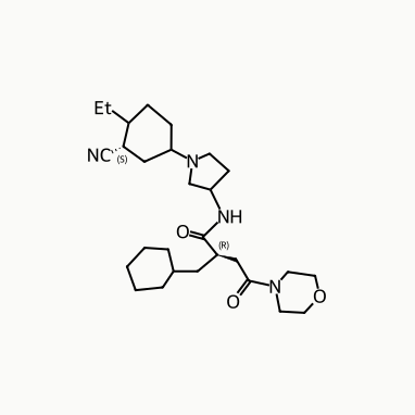 CCC1CCC(N2CCC(NC(=O)[C@@H](CC(=O)N3CCOCC3)CC3CCCCC3)C2)C[C@@H]1C#N